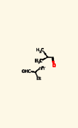 CC(C)C=O.CCCC(C=O)CC